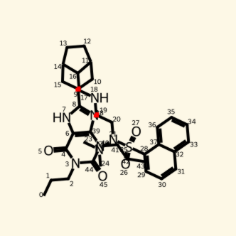 CCCn1c(=O)c2[nH]c(C3CC4CCC(C3)C4CNCCN(N(C)C)S(=O)(=O)c3cccc4ccccc34)nc2n(CCC)c1=O